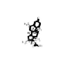 CCCC(=O)O[C@]1(C(C)=O)[C@@H](C)C[C@H]2[C@@H]3C[C@H](C)C4=CC(=O)C=C[C@]4(C)C34O[C@H]4C[C@@]21C